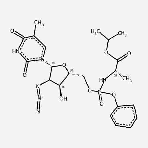 Cc1cn([C@@H]2O[C@H](COP(=O)(N[C@@H](C)C(=O)OC(C)C)Oc3ccccc3)[C@@H](O)C2N=[N+]=[N-])c(=O)[nH]c1=O